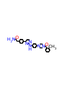 Cc1ccccc1C(=O)N1CCN(c2ccc(Nc3nccc(-c4ccc(CC(N)=O)cc4)n3)cc2)CC1